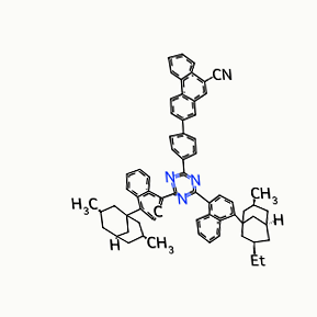 CC[C@@H]1C[C@@H]2C[C@H](C)CC(c3ccc(-c4nc(-c5ccc(-c6ccc7c(c6)cc(C#N)c6ccccc67)cc5)nc(-c5ccc(C67C[C@H](C)C[C@H](C[C@H](C)C6)C7)c6ccccc56)n4)c4ccccc34)(C1)C2